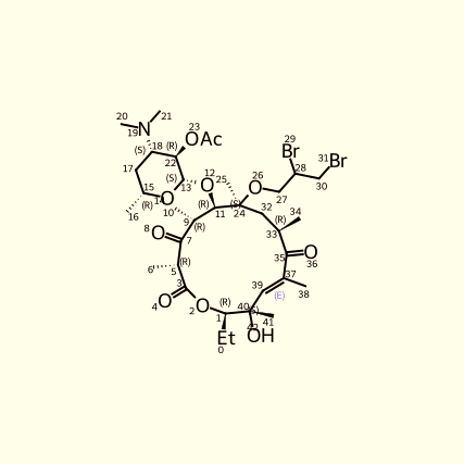 CC[C@H]1OC(=O)[C@H](C)C(=O)[C@H](C)[C@@H](O[C@@H]2O[C@H](C)C[C@H](N(C)C)[C@H]2OC(C)=O)[C@@](C)(OCC(Br)CBr)C[C@@H](C)C(=O)/C(C)=C/[C@]1(C)O